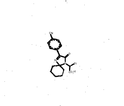 CCC(C(=O)O)N1C(=O)C(c2ccc(C#N)cc2)=NC12CCCCC2